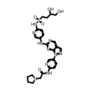 O=C(CN1CCCC1)Nc1ccc(-n2ncc3cnc(Nc4ccc(NS(=O)(=O)CCC(O)CO)nc4)nc32)cn1